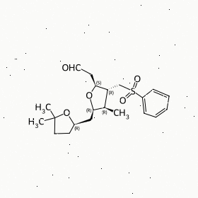 C[C@@H]1[C@@H](CS(=O)(=O)c2ccccc2)[C@H](CC=O)O[C@@H]1C[C@H]1CCC(C)(C)O1